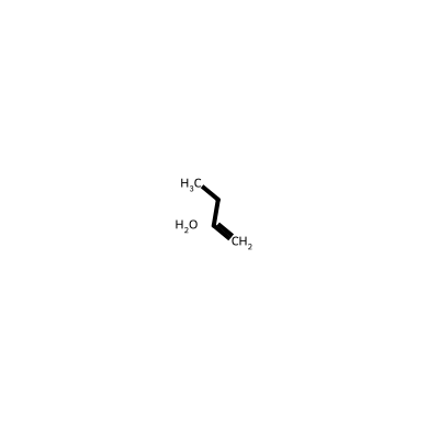 C=CCC.O